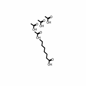 CC(=O)O.CC(=O)O.CC(=O)O.CC(=O)O.CCCCCCCC(=O)O